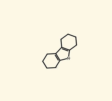 [C]1CCCC2=C1[N]C1=C2CCCC1